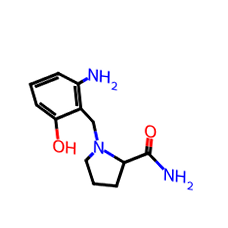 NC(=O)C1CCCN1Cc1c(N)cccc1O